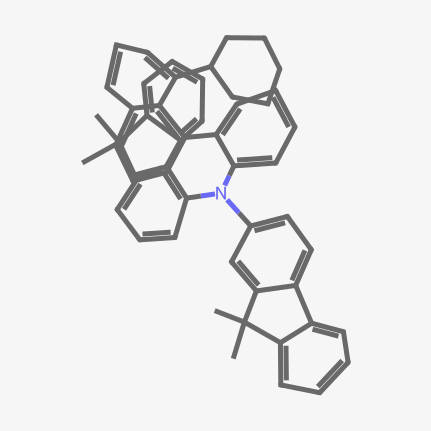 CC1(C)c2ccccc2-c2ccc(N(c3ccccc3-c3cccc4cccc(C5CCCCC5)c34)c3cccc4c3-c3ccccc3C4(C)C)cc21